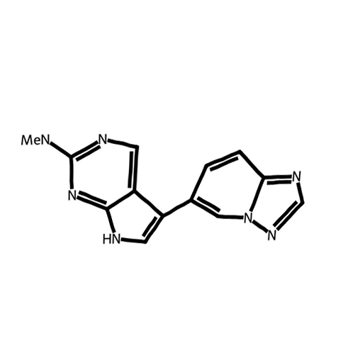 CNc1ncc2c(-c3ccc4ncnn4c3)c[nH]c2n1